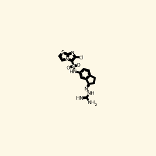 N=C(N)NN=C1CCc2ccc(NS(=O)(=O)c3c(Cl)nc4sccn34)cc21